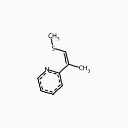 CS/C=C(/C)c1ccccn1